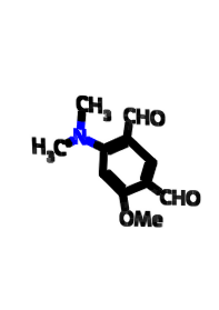 COc1cc(N(C)C)c(C=O)cc1C=O